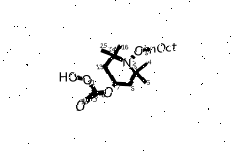 CCCCCCCCON1C(C)(C)CC(OC(=O)OO)CC1(C)C